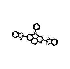 c1ccc(-n2c3cc(-c4nc5ccccc5s4)cc4c3c3c(cc(-c5nc6ccccc6s5)cc32)CC4)cc1